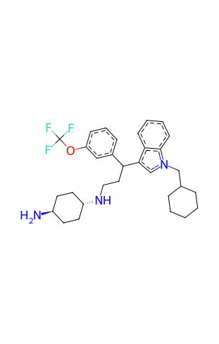 N[C@H]1CC[C@H](NCCC(c2cccc(OC(F)(F)F)c2)c2cn(CC3CCCCC3)c3ccccc23)CC1